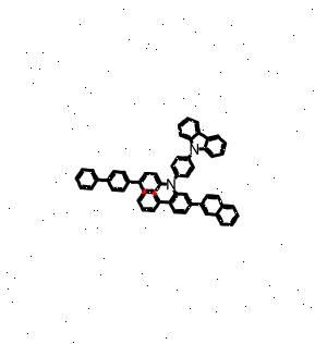 c1ccc(-c2ccc(-c3ccc(N(c4ccc(-n5c6ccccc6c6ccccc65)cc4)c4cc(-c5ccc6ccccc6c5)ccc4-c4ccccc4)cc3)cc2)cc1